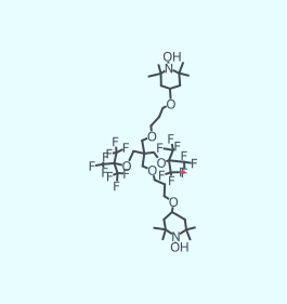 CC1(C)CC(OCCCOCC(COCCCOC2CC(C)(C)N(O)C(C)(C)C2)(COC(C(F)(F)F)(C(F)(F)F)C(F)(F)F)COC(C(F)(F)F)(C(F)(F)F)C(F)(F)F)CC(C)(C)N1O